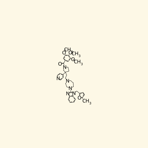 COc1cc(C(=O)N2CCC(CCN3CCCN(c4nc5ccccc5n4Cc4ccc(C)o4)CC3)(c3ccncc3)C2)cc(OC)c1OC